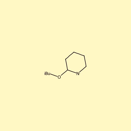 CCC(C)OC1CCCC[N]1